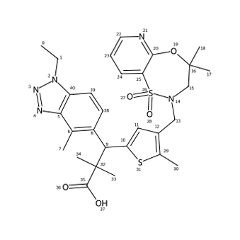 CCn1nnc2c(C)c(C(c3cc(CN4CC(C)(C)Oc5ncccc5S4(=O)=O)c(C)s3)C(C)(C)C(=O)O)ccc21